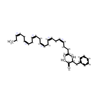 CC/C=C\C/C=C\C/C=C\C/C=C\C/C=C\C/C=C\CCC(=O)NC(Cc1ccccc1)C(=O)O